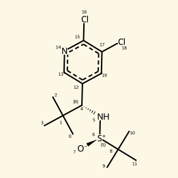 CC(C)(C)[C@@H](N[S@+]([O-])C(C)(C)C)c1cnc(Cl)c(Cl)c1